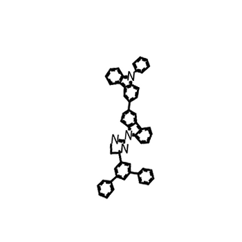 c1ccc(-c2cc(C3=NC(n4c5ccccc5c5cc(-c6ccc7c(c6)c6ccccc6n7-c6ccccc6)ccc54)=NCC3)cc(-c3ccccc3)c2)cc1